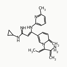 C=C(N)/C(=C/C)N1C=C(/C(=C/C(=N)NC2CC2)Nc2cccc(C)n2)C=CC1=C